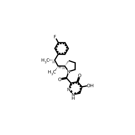 C[C@H]([C@H](C)c1cccc(F)c1)[C@@H]1CCCN1C(=O)c1n[nH]cc(O)c1=O